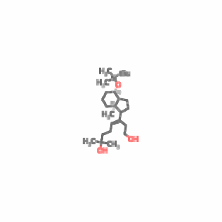 CC(C)(O)CCC=C(CCO)C1CCC2[C@@H](O[Si](C)(C)C(C)(C)C)CCC[C@]12C